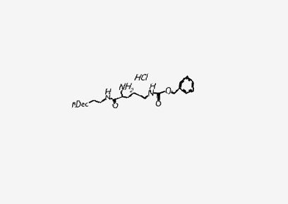 CCCCCCCCCCCCNC(=O)C(N)CCCNC(=O)OCc1ccccc1.Cl